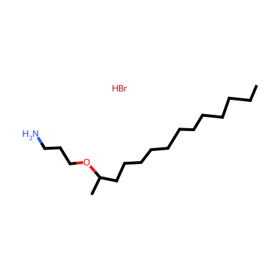 Br.CCCCCCCCCCCCC(C)OCCCN